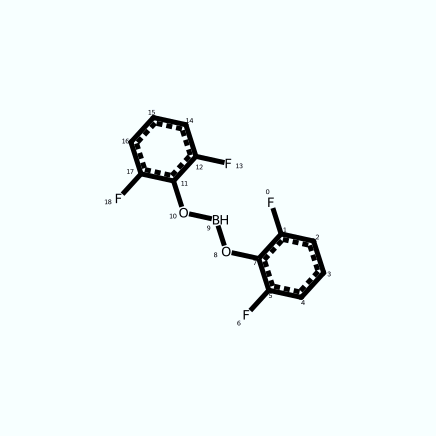 Fc1cccc(F)c1OBOc1c(F)cccc1F